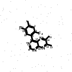 Cc1cc(F)c(-c2ncnc3nc(C)c(C)nc23)cc1F